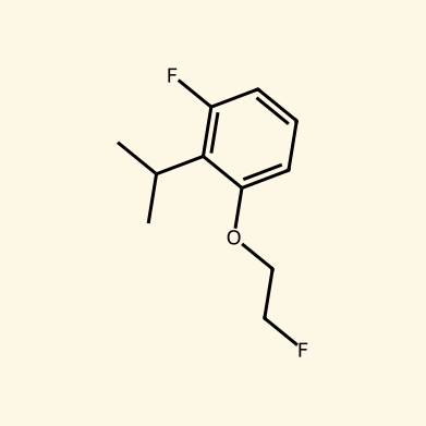 CC(C)c1c(F)cccc1OCCF